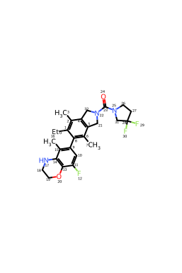 CCc1c(C)c2c(c(C)c1-c1cc(F)c3c(c1C)NCCO3)CN(C(=O)N1CCC(F)(F)C1)C2